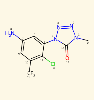 Cn1nnn(-c2cc(N)cc(C(F)(F)F)c2Cl)c1=O